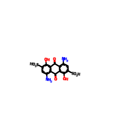 Nc1cc(S(=O)(=O)O)c(O)c2c1C(=O)c1c(O)c(S(=O)(=O)O)cc(N)c1C2=O